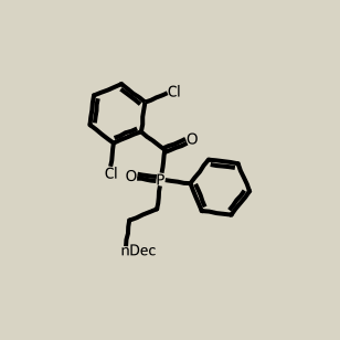 CCCCCCCCCCCCP(=O)(C(=O)c1c(Cl)cccc1Cl)c1ccccc1